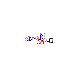 [N-]=[N+]=C(C(=O)OCCN1CCOCC1)C(=O)OCc1ccccc1